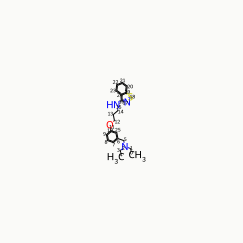 CCN(CC)Cc1cccc(OCCCNc2nsc3ccccc23)c1